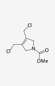 COC(=O)N1CC(CCl)=C(CCl)C1